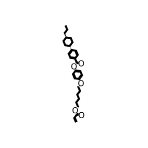 C=CC(=O)OCCCCCCOc1ccc(OC(=O)c2ccc([C@H]3CC[C@H](CCC)CC3)cc2)cc1